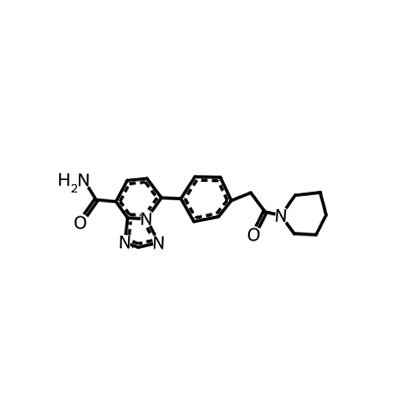 NC(=O)c1ccc(-c2ccc(CC(=O)N3CCCCC3)cc2)n2n[c]nc12